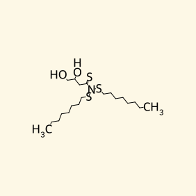 CCCCCCCCSN(SCCCCCCCC)C(=S)CC(O)CO